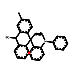 Cc1ccc2c(c1)C(O)c1ccccc1C21c2ccccc2N(c2ccccc2)c2ccccc21